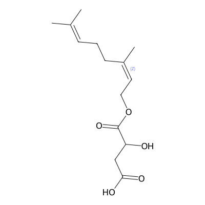 CC(C)=CCC/C(C)=C\COC(=O)C(O)CC(=O)O